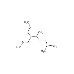 COCC(COC)C(C)CCC(C)C